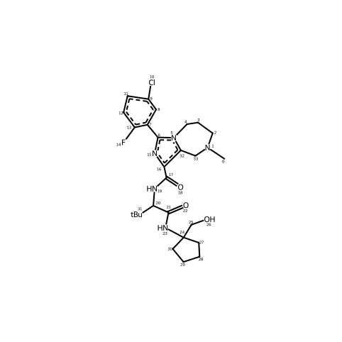 CN1CCCn2c(-c3cc(Cl)ccc3F)nc(C(=O)NC(C(=O)NC3(CO)CCCC3)C(C)(C)C)c2C1